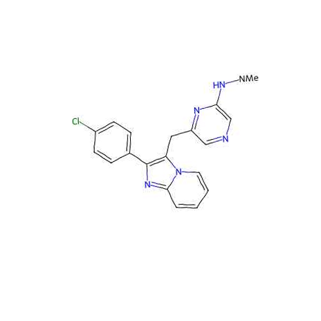 CNNc1cncc(Cc2c(-c3ccc(Cl)cc3)nc3ccccn23)n1